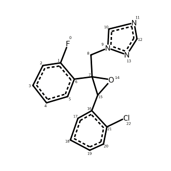 Fc1ccccc1C1(Cn2cncn2)OC1c1ccccc1Cl